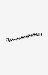 C[Si](C)(Cl)CCCCCCCCCCCCCCCCCCCCCCO